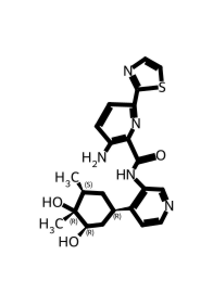 C[C@H]1C[C@@H](c2ccncc2NC(=O)c2nc(-c3nccs3)ccc2N)C[C@@H](O)[C@]1(C)O